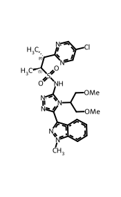 COCC(COC)n1c(NS(=O)(=O)[C@@H](C)[C@H](C)c2ncc(Cl)cn2)nnc1-c1nn(C)c2ccccc12